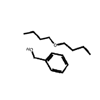 CCCCOCCCC.OCc1ccccc1